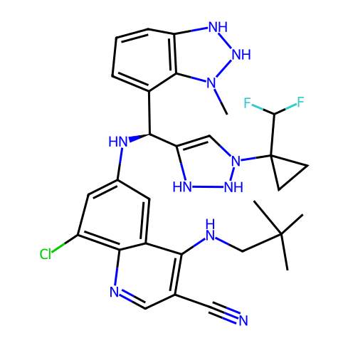 CN1NNc2cccc([C@H](Nc3cc(Cl)c4ncc(C#N)c(NCC(C)(C)C)c4c3)C3=CN(C4(C(F)F)CC4)NN3)c21